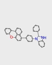 c1ccc(C2Nc3ccccc3N2c2ccc(-c3ccc4c5c(cccc35)-c3ccccc3O4)cc2)cc1